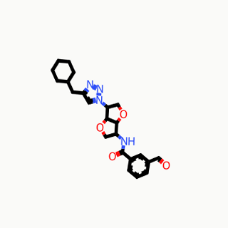 O=Cc1cccc(C(=O)NC2COC3C2OCC3n2cc(CC3CCCCC3)nn2)c1